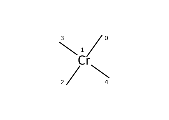 [CH3][Cr]([CH3])([CH3])[CH3]